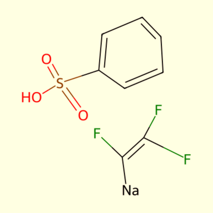 FC(F)=[C](F)[Na].O=S(=O)(O)c1ccccc1